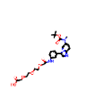 CN(C(=O)OC(C)(C)C)c1ccc2ncc(-c3cccc(NC(=O)COCCOCCOCC(=O)O)c3)n2c1